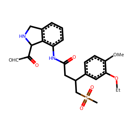 CCOc1cc(C(CC(=O)Nc2cccc3c2C(C(=O)C=O)NC3)CS(C)(=O)=O)ccc1OC